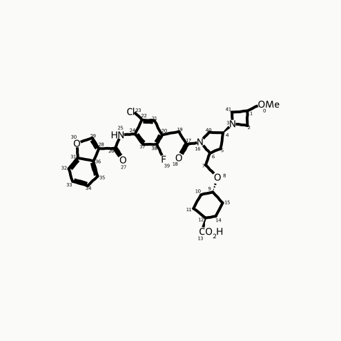 COC1CN([C@H]2CC(CO[C@H]3CC[C@H](C(=O)O)CC3)N(C(=O)Cc3cc(Cl)c(NC(=O)c4coc5ccccc45)cc3F)C2)C1